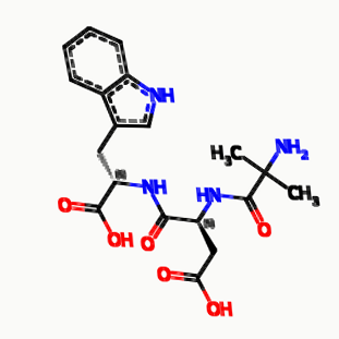 CC(C)(N)C(=O)N[C@@H](CC(=O)O)C(=O)N[C@@H](Cc1c[nH]c2ccccc12)C(=O)O